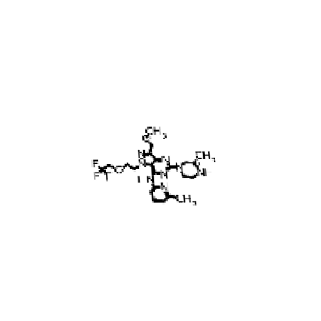 COCc1nn(CCOCC(F)(F)F)c2c(Nc3cccc(C)n3)nc(N3CCN[C@H](C)C3)nc12